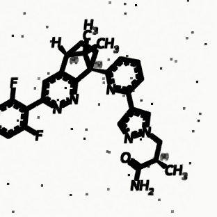 C[C@H](Cn1cc(-c2cccc([C@@]34CC[C@@H](c5cc(-c6c(F)cccc6F)nnc53)C4(C)C)n2)cn1)C(N)=O